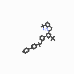 CC(C)(C)c1cc(-c2cccc(CC(C)(C)c3ccc(-c4ccccc4)cc3)c2)cc(C2CCc3cccc(C(C)(C)C)c3N2)c1